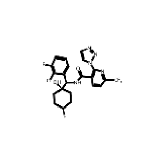 O=C(NC(c1cccc(F)c1Cl)[C@]1(O)CC[C@@H](F)CC1)c1ccc(C(F)(F)F)nc1-n1ccnn1